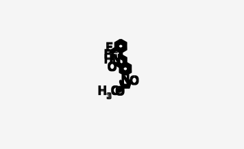 COC1=CC(=O)N(c2ccc3cc(-c4ccccc4C(F)(F)F)[nH]c(=O)c3c2)C1